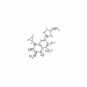 Cl.NC1CCN(c2cc3c(cc2F)c(=O)n(N)c(=O)n3C2CC2)C1